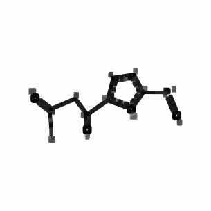 O=Pc1ccc(C(=O)CC(=O)I)o1